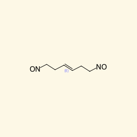 O=NCC/C=C/CCN=O